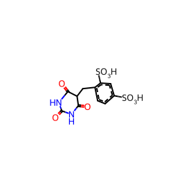 O=C1NC(=O)C(Cc2ccc(S(=O)(=O)O)cc2S(=O)(=O)O)C(=O)N1